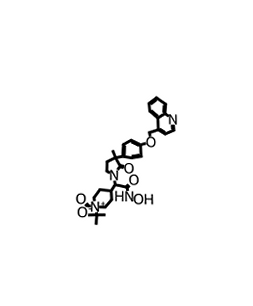 CC1(c2ccc(OCc3ccnc4ccccc34)cc2)CCN(C(C(=O)NO)C2CC[N+](C(=O)[O-])(C(C)(C)C)CC2)C1=O